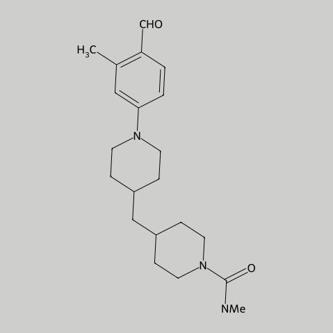 CNC(=O)N1CCC(CC2CCN(c3ccc(C=O)c(C)c3)CC2)CC1